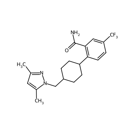 Cc1cc(C)n(CC2CCC(c3ccc(C(F)(F)F)cc3C(N)=O)CC2)n1